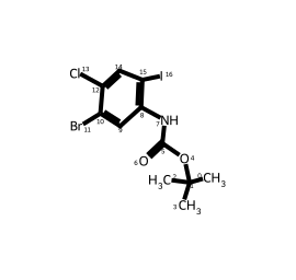 CC(C)(C)OC(=O)Nc1cc(Br)c(Cl)cc1I